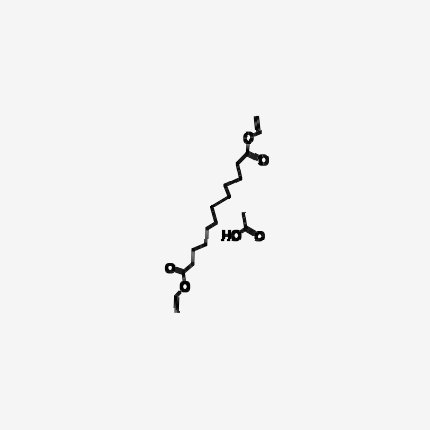 C=COC(=O)CCCCCCCCCCC(=O)OC=C.CC(=O)O